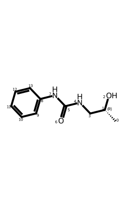 C[C@@H](O)CNC(=O)Nc1ccccc1